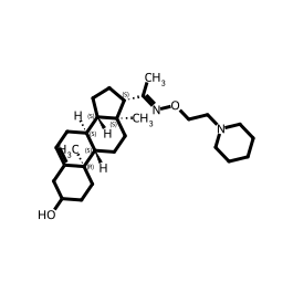 CC(=NOCCN1CCCCC1)[C@H]1CC[C@H]2[C@@H]3CC=C4CC(O)CC[C@]4(C)[C@H]3CC[C@]12C